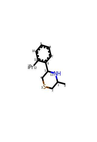 CC1CSCC(c2ccccc2C(C)C)N1